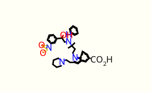 CC(C)(CCn1c(CCN2CCCCC2)cc2cc(C(=O)O)ccc21)NCC(O)c1cccc(N=S(=O)=O)c1.c1ccccc1